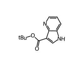 CC(C)(C)OC(=O)c1c[nH]c2cccnc12